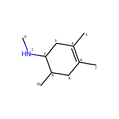 CNC1CC(C)=C(C)CC1C